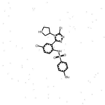 CCc1nnc(-c2cc(Cl)ccc2NS(=O)(=O)c2ccc(C(C)(C)C)cc2)n1C1CCNC1